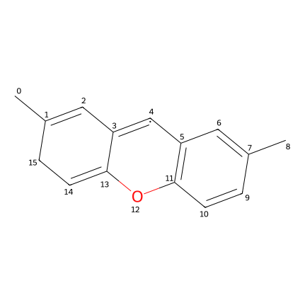 CC1=CC2=[C]c3cc(C)ccc3OC2=CC1